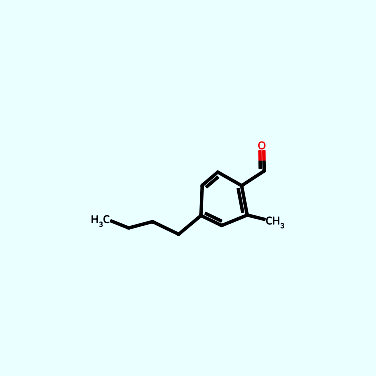 CCCCc1ccc(C=O)c(C)c1